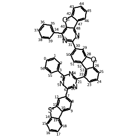 c1ccc(-c2nc(-c3ccc4c(c3)sc3ccccc34)nc(-c3cccc4oc5cc(-c6nc(-c7ccccc7)c7oc8ccccc8c7n6)ccc5c34)n2)cc1